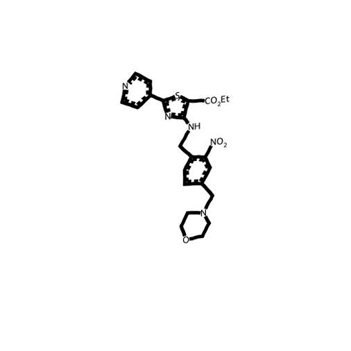 CCOC(=O)c1sc(-c2ccncc2)nc1NCc1ccc(CN2CCOCC2)cc1[N+](=O)[O-]